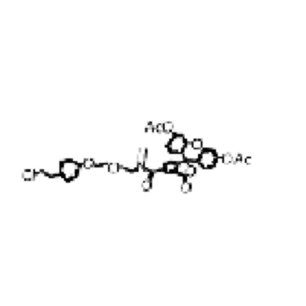 CC(=O)Oc1ccc2c(c1)Oc1cc(OC(C)=O)ccc1C21OC(=O)c2cc(C(=O)NCCOCCOc3ccc(CCCl)cc3)ccc21